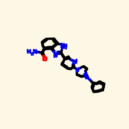 NC(=O)c1cccc2[nH]c(-c3ccc(N4CCN(c5ccccc5)CC4)nc3)nc12